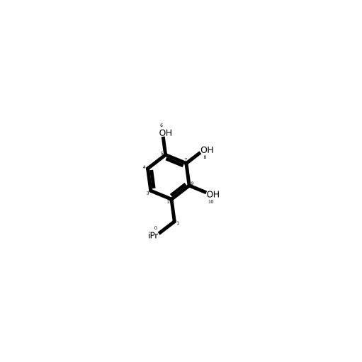 CC(C)Cc1ccc(O)c(O)c1O